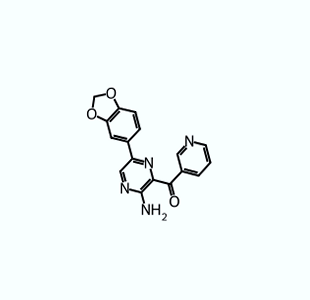 Nc1ncc(-c2ccc3c(c2)OCO3)nc1C(=O)c1cccnc1